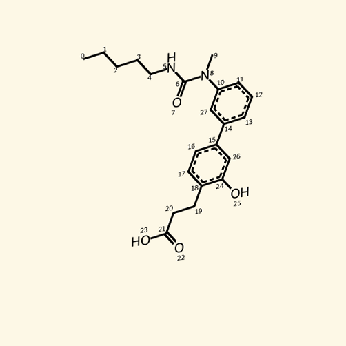 CCCCCNC(=O)N(C)c1cccc(-c2ccc(CCC(=O)O)c(O)c2)c1